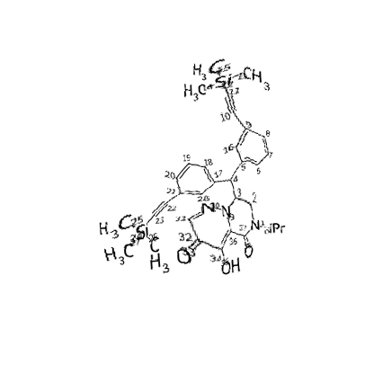 CC(C)N1CC(C(c2cccc(C#C[Si](C)(C)C)c2)c2cccc(C#C[Si](C)(C)C)c2)n2ncc(=O)c(O)c2C1=O